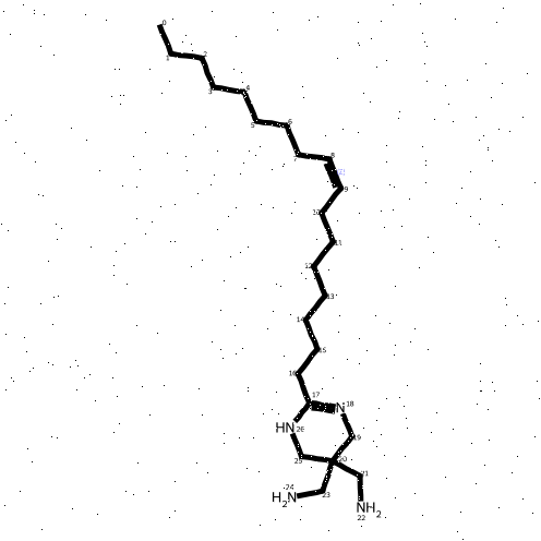 CCCCCCCC/C=C\CCCCCCCC1=NCC(CN)(CN)CN1